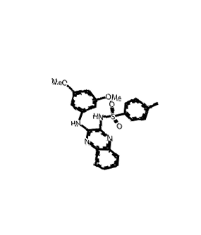 COc1cc(Nc2nc3ccccc3nc2NS(=O)(=O)c2ccc(C)cc2)cc(OC)c1